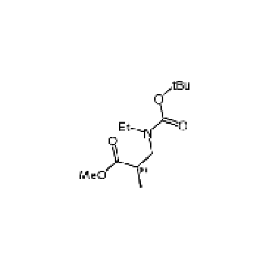 CCN(C[C@@H](C)C(=O)OC)C(=O)OC(C)(C)C